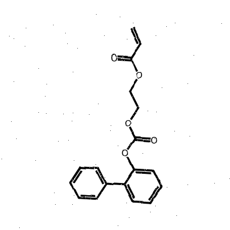 C=CC(=O)OCCOC(=O)Oc1ccccc1-c1ccccc1